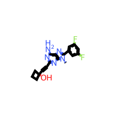 Cn1c(-c2cc(F)cc(F)c2)nc2c(N)nc(C#CC3(O)CCC3)nc21